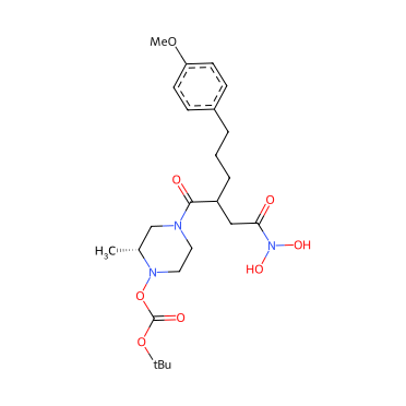 COc1ccc(CCCC(CC(=O)N(O)O)C(=O)N2CCN(OC(=O)OC(C)(C)C)[C@H](C)C2)cc1